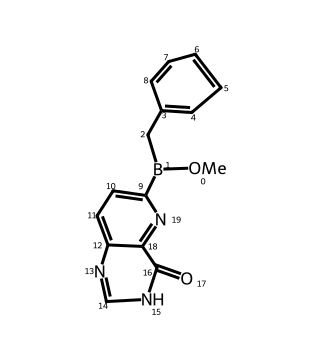 COB(Cc1ccccc1)c1ccc2nc[nH]c(=O)c2n1